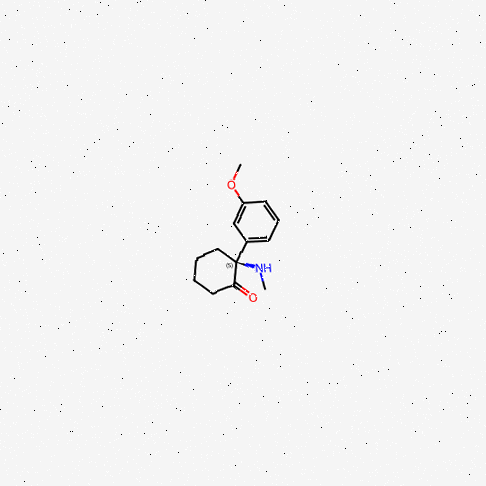 CN[C@]1(c2cccc(OC)c2)CCCCC1=O